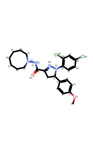 COc1ccc(C2CC(C(=O)NN3CCCCCCC3)=NN2c2ccc(Cl)cc2Cl)cc1